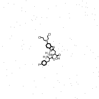 Cn1c(CC(NC(=O)C(N)Cc2ccc(F)cc2)C(=O)O)nc2cc(N(CCCl)CCCl)ccc21